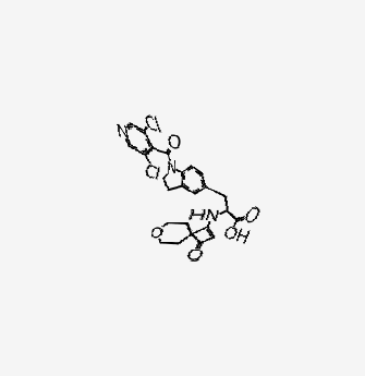 O=C(O)C(Cc1ccc2c(c1)CCN2C(=O)c1c(Cl)cncc1Cl)NC1=CC(=O)C12CCOCC2